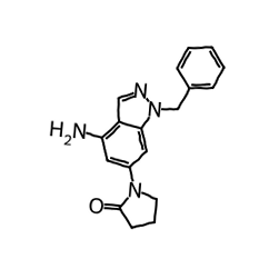 Nc1cc(N2CCCC2=O)cc2c1cnn2Cc1ccccc1